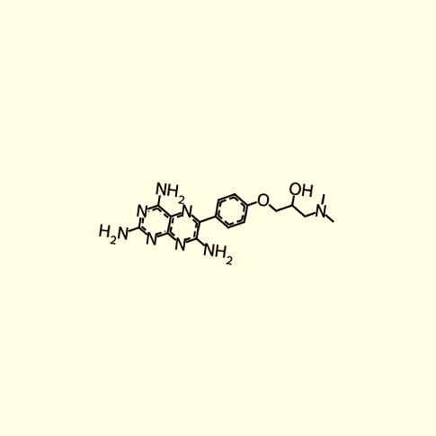 CN(C)CC(O)COc1ccc(-c2nc3c(N)nc(N)nc3nc2N)cc1